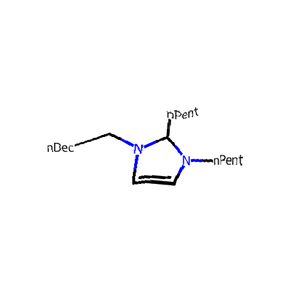 CCCCCCCCCCCN1C=CN(CCCCC)C1CCCCC